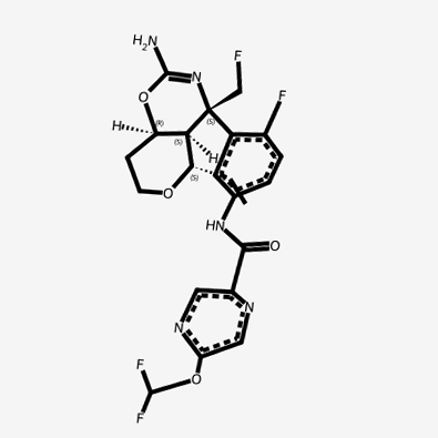 CC[C@@H]1OCC[C@H]2OC(N)=N[C@](CF)(c3cc(NC(=O)c4cnc(OC(F)F)cn4)ccc3F)[C@@H]12